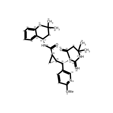 COc1ccc([C@H]([C@@H]2C[C@H]2C(=O)N[C@H]2CC(C)(C)Oc3ccccc32)N2C(=N)NC(C)(C)CC2=O)cn1